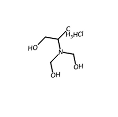 CC(CO)N(CO)CO.Cl